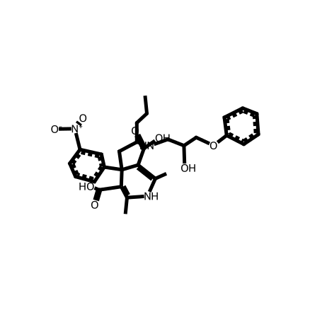 CCCC(CC1(c2cccc([N+](=O)[O-])c2)C(C(=O)O)=C(C)NC(C)=C1C(=O)O)NCC(O)COc1ccccc1